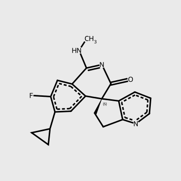 CNC1=NC(=O)[C@@]2(CCc3ncccc32)c2cc(C3CC3)c(F)cc21